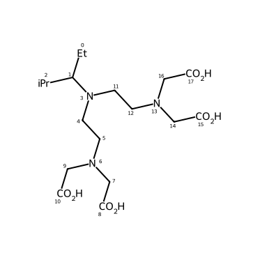 CCC(C(C)C)N(CCN(CC(=O)O)CC(=O)O)CCN(CC(=O)O)CC(=O)O